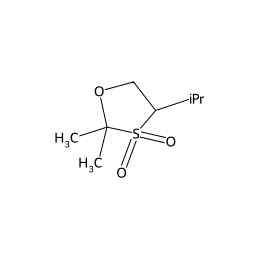 CC(C)C1COC(C)(C)S1(=O)=O